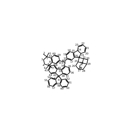 CC1(C)CCC(C)(C)c2cc(N(c3ccc4c(c3)C3(C5C=CC=CC45)C4CC5CC6CC3C64C5)c3cccc4c3-c3ccccc3C4(c3ccccc3)c3ccccc3)ccc21